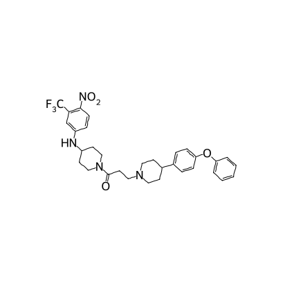 O=C(CCN1CCC(c2ccc(Oc3ccccc3)cc2)CC1)N1CCC(Nc2ccc([N+](=O)[O-])c(C(F)(F)F)c2)CC1